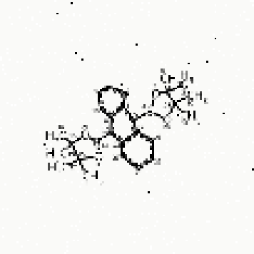 CC1(C)OB(c2c3ccccc3c(B3OC(C)(C)C(C)(C)O3)c3ccccc23)OC1(C)C